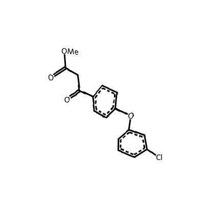 COC(=O)CC(=O)c1ccc(Oc2cccc(Cl)c2)cc1